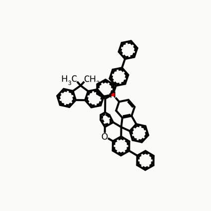 CC1(C)c2ccccc2-c2ccc(N(c3ccc(-c4ccccc4)cc3)C3C=CC4=C(C3)C3(c5cc(-c6ccccc6)ccc5Oc5ccc(-c6ccccc6)cc53)c3ccccc34)cc21